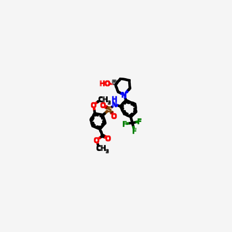 COC(=O)c1ccc(OC)c(S(=O)(=O)Nc2cc(C(F)(F)F)ccc2N2CCC[C@@H](O)C2)c1